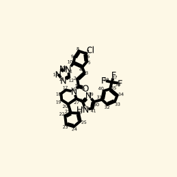 O=C(/C=C/c1cc(Cl)ccc1-n1cnnn1)N1CCCC(c2ccccc2)C1c1nc(-c2cccc(C(F)(F)F)c2)c[nH]1